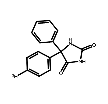 [2H]c1ccc(C2(c3ccccc3)NC(=O)NC2=O)cc1